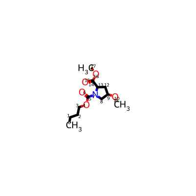 CCCCOC(=O)N1CC(OC)CC1C(=O)OC